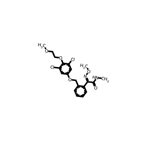 CNC(=O)C(=NOC)c1ccccc1COc1cc(Cl)c(OCCOC)c(Cl)c1